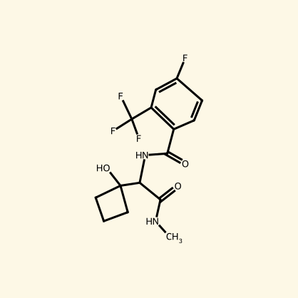 CNC(=O)C(NC(=O)c1ccc(F)cc1C(F)(F)F)C1(O)CCC1